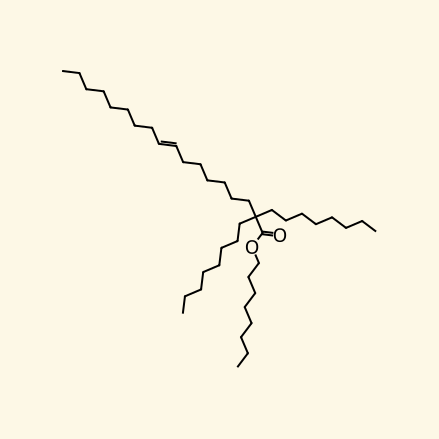 CCCCCCCCC=CCCCCCCC(CCCCCCCC)(CCCCCCCC)C(=O)OCCCCCCCC